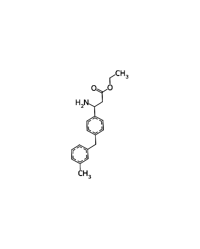 CCOC(=O)CC(N)c1ccc(Cc2cccc(C)c2)cc1